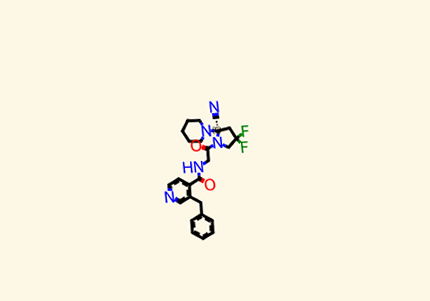 N#C[C@]1(N2CCCCC2)CC(F)(F)CN1C(=O)CNC(=O)c1ccncc1Cc1ccccc1